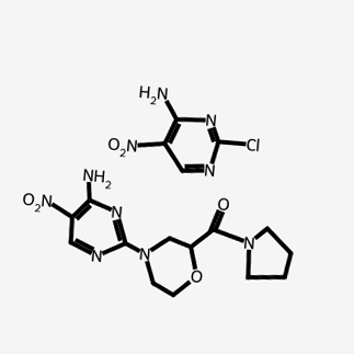 Nc1nc(Cl)ncc1[N+](=O)[O-].Nc1nc(N2CCOC(C(=O)N3CCCC3)C2)ncc1[N+](=O)[O-]